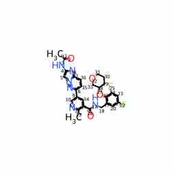 CC(=O)Nc1cn2nc(-c3cnc(C)c(C(=O)NCc4cc(F)cc(F)c4OC4CCCOC4)c3)ccc2n1